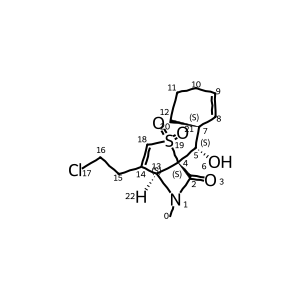 CN1C(=O)[C@@]2([C@@H](O)[C@@H]3C=CCCC3)[C@@H]1C(CCCl)=CS2(=O)=O